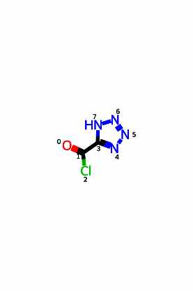 O=C(Cl)c1nnn[nH]1